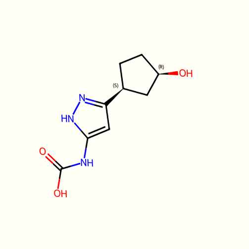 O=C(O)Nc1cc([C@H]2CC[C@@H](O)C2)n[nH]1